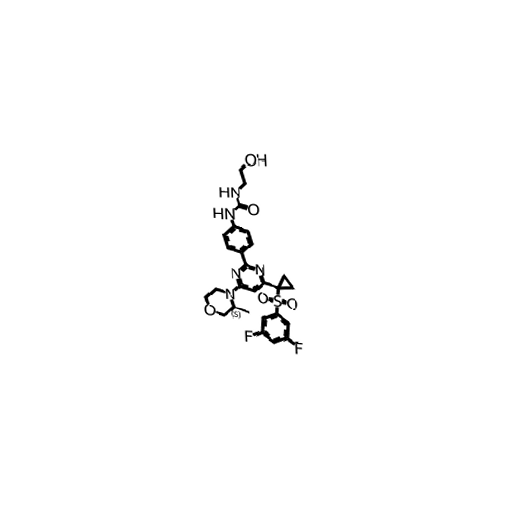 C[C@H]1COCCN1c1cc(C2(S(=O)(=O)c3cc(F)cc(F)c3)CC2)nc(-c2ccc(NC(=O)NCCO)cc2)n1